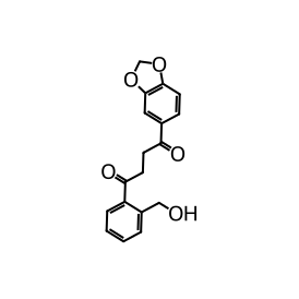 O=C(CCC(=O)c1ccccc1CO)c1ccc2c(c1)OCO2